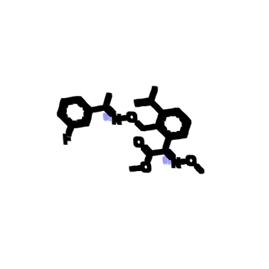 C=C(C)c1cccc(/C(=N\OC)C(=O)OC)c1CO/N=C(\C)c1cccc(F)c1